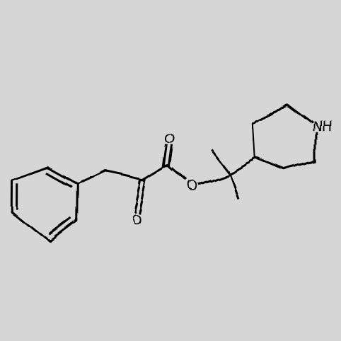 CC(C)(OC(=O)C(=O)Cc1ccccc1)C1CCNCC1